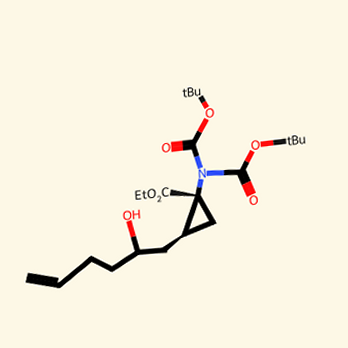 C=CCCC(O)C[C@@H]1C[C@@]1(C(=O)OCC)N(C(=O)OC(C)(C)C)C(=O)OC(C)(C)C